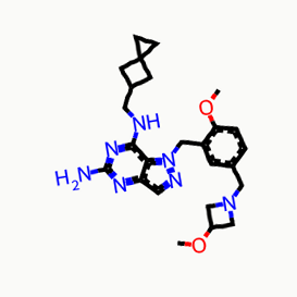 COc1ccc(CN2CC(OC)C2)cc1Cn1ncc2nc(N)nc(NCC3CC4(CC4)C3)c21